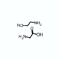 NCC(=O)O.NCCO